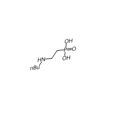 CCCCNCCP(=O)(O)O